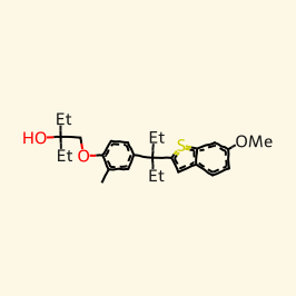 CCC(O)(CC)COc1ccc(C(CC)(CC)c2cc3ccc(OC)cc3s2)cc1C